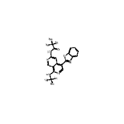 [2H]C([2H])([2H])Nc1ncc(-c2nc3ccccc3o2)c2cc(NC(=O)C([2H])([2H])[2H])ncc12